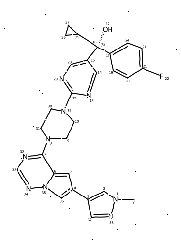 Cn1cc(-c2cc3c(N4CCN(c5ncc([C@](O)(c6ccc(F)cc6)C6CC6)cn5)CC4)ncnn3c2)cn1